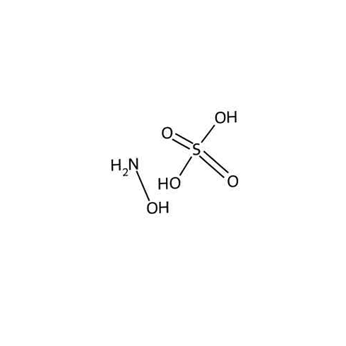 NO.O=S(=O)(O)O